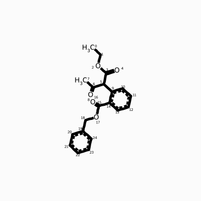 CCOC(=O)C(C(C)=O)c1ccccc1C(=O)OCc1ccccc1